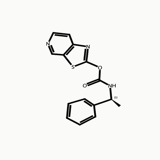 C[C@H](NC(=O)Oc1nc2ccncc2s1)c1ccccc1